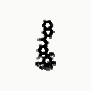 CC1(C)C(N)=N[C@](C)(c2cc(/C=C(\F)c3cc4c(cn3)OCCO4)ccc2F)CS1(=O)=O